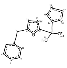 OC(c1nc(Cc2ccncc2)c[nH]1)(c1cncs1)C(F)(F)F